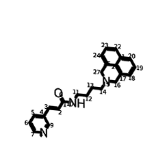 O=C(C=Cc1cccnc1)NCCCCN1Cc2cccc3cccc(c23)C1